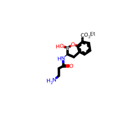 CCOC(=O)c1cccc2c1OB(O)[C@@H](NC(=O)CCN)C2